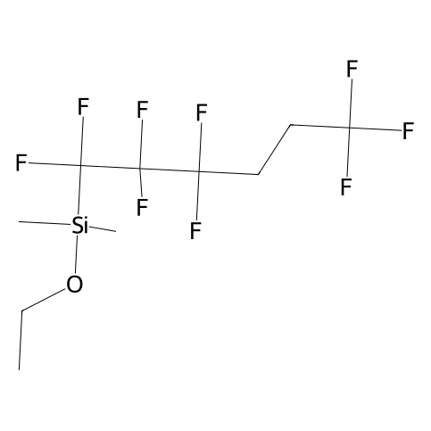 CCO[Si](C)(C)C(F)(F)C(F)(F)C(F)(F)CCC(F)(F)F